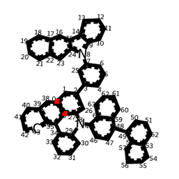 c1cc(-c2cccc(-n3c4ccccc4c4cc5ccccc5cc43)c2)cc(N(c2ccccc2-c2cccc3ccccc23)c2ccc(-c3cccc4ccccc34)c3ccccc23)c1